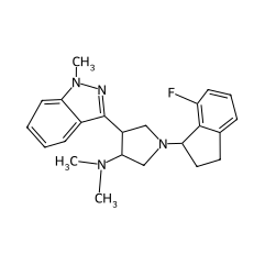 CN(C)C1CN(C2CCc3cccc(F)c32)CC1c1nn(C)c2ccccc12